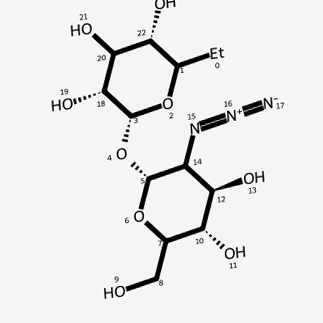 CCC1O[C@H](O[C@H]2OC(CO)[C@@H](O)[C@H](O)C2N=[N+]=[N-])[C@H](O)C(O)[C@@H]1O